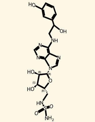 NS(=O)(=O)NC[C@H]1O[C@@H](n2cnc3c(NCC(O)c4cccc(O)c4)ncnc32)[C@H](O)[C@@H]1O